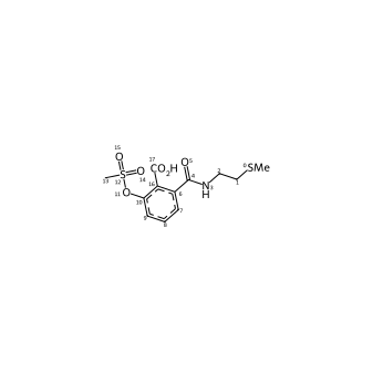 CSCCNC(=O)c1cccc(OS(C)(=O)=O)c1C(=O)O